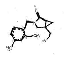 O=C1C2CC2(CO)CN1Cc1ccc(O)cc1O